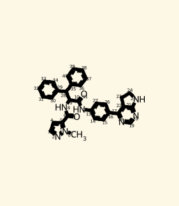 Cn1nccc1C(=O)NC(C(=O)Nc1ccc(-c2ncnc3c2CCN3)cc1)C(c1ccccc1)c1ccccc1